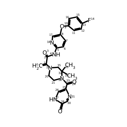 C=C(C(=O)Nc1ccc(Oc2ccc(F)cc2)cn1)N1CCN(C(=O)c2c[nH]c(=O)cn2)C(C)(C)C1